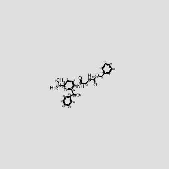 CN(C)c1ccc(NC(=O)CNC(=O)OCc2ccccc2)c(C(=O)c2ccccc2)n1